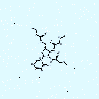 CCCC(=O)OCC1OC(n2cccnc2=O)C(OC(=O)CCC)C1OC(=O)CCC